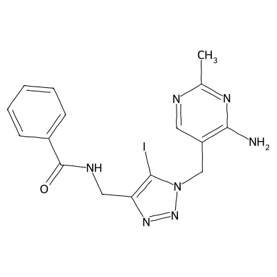 Cc1ncc(Cn2nnc(CNC(=O)c3ccccc3)c2I)c(N)n1